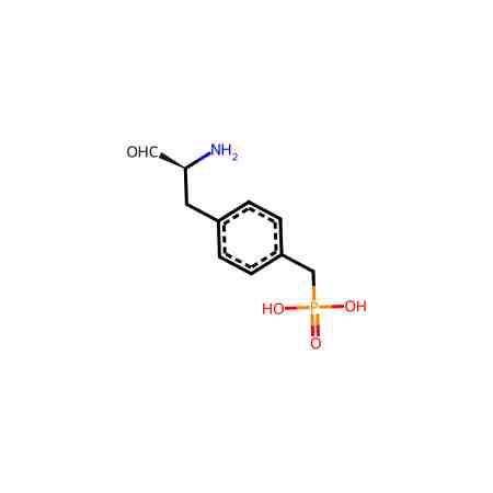 N[C@H](C=O)Cc1ccc(CP(=O)(O)O)cc1